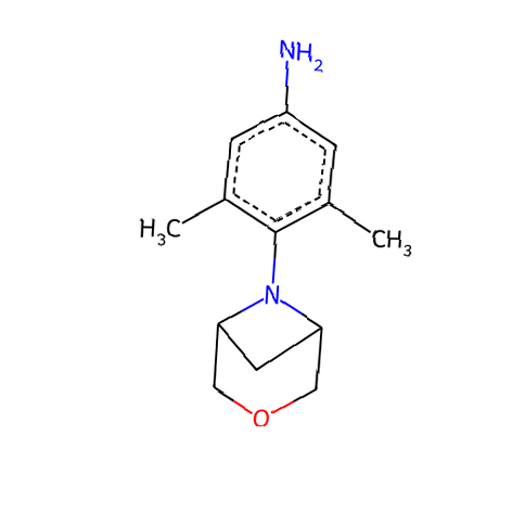 Cc1cc(N)cc(C)c1N1C2COCC1C2